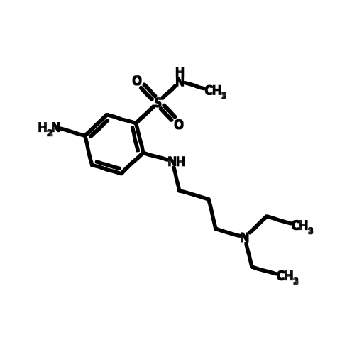 CCN(CC)CCCNc1ccc(N)cc1S(=O)(=O)NC